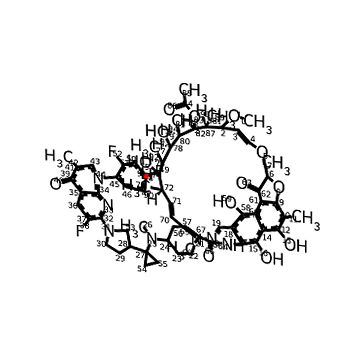 CO[C@H]1/C=C/O[C@@]2(C)Oc3c(C)c(O)c4c(O)c(c(/C=N/N5CCC(N(C)C6(C7CCN(c8nc9c(cc8F)c(=O)c(C)cn9-c8ccc(F)cc8F)C7)CC6)CC5)c(O)c4c3C2=O)NC(=O)/C(C)=C\C=C\[C@H](C)[C@H](O)[C@@H](C)[C@@H](O)[C@@H](C)[C@H](OC(C)=O)[C@@H]1C